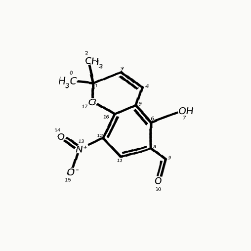 CC1(C)C=Cc2c(O)c(C=O)cc([N+](=O)[O-])c2O1